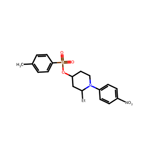 CCC1CC(OS(=O)(=O)c2ccc(C)cc2)CCN1c1ccc([N+](=O)[O-])cc1